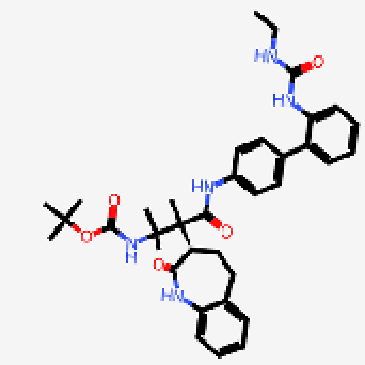 CCNC(=O)Nc1ccccc1-c1ccc(NC(=O)C(C)([C@H]2CCc3ccccc3NC2=O)C(C)(C)NC(=O)OC(C)(C)C)cc1